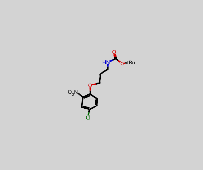 CC(C)(C)OC(=O)NCCCOc1ccc(Cl)cc1[N+](=O)[O-]